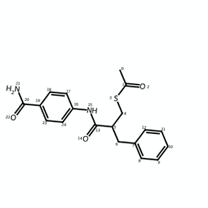 CC(=O)SCC(Cc1ccccc1)C(=O)Nc1ccc(C(N)=O)cc1